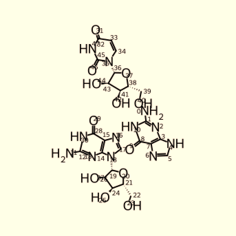 Nc1nc2[nH]cnc2c(=O)[nH]1.Nc1nc2c(ncn2[C@@H]2O[C@H](CO)[C@@H](O)[C@H]2O)c(=O)[nH]1.O=c1ccn([C@@H]2O[C@H](CO)[C@@H](O)[C@H]2O)c(=O)[nH]1